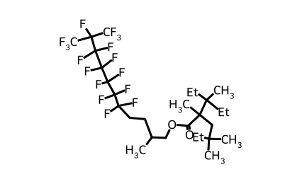 CCC(C)(C)CC(C)(C(=O)OCC(C)CCC(F)(F)C(F)(F)C(F)(F)C(F)(F)C(F)(F)C(F)(C(F)(F)F)C(F)(F)F)C(C)(CC)CC